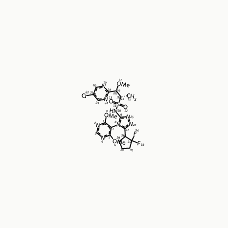 COc1ncnc(OC)c1-n1c(NS(=O)(=O)[C@@H](C)[C@H](OC)c2ncc(Cl)cn2)nnc1C1CCCC1(F)F